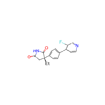 CC[C@@]1(c2ccc(C3C=CN=CC3F)cc2)CC(=O)NC1=O